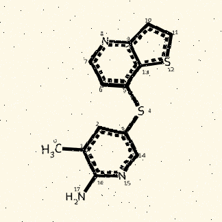 Cc1cc(Sc2ccnc3ccsc23)cnc1N